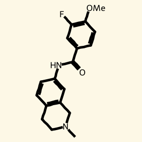 COc1ccc(C(=O)Nc2ccc3c(c2)CN(C)CC3)cc1F